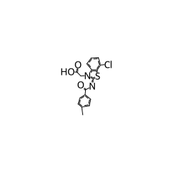 Cc1ccc(C(=O)N=c2sc3c(Cl)cccc3n2CC(=O)O)cc1